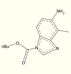 CCCCOC(=O)n1cnc2c(C)c(N)ccc21